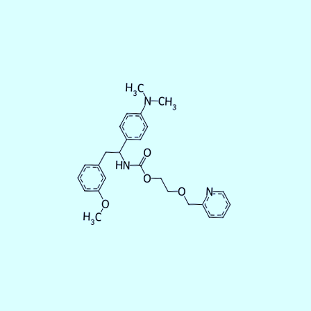 COc1cccc(CC(NC(=O)OCCOCc2ccccn2)c2ccc(N(C)C)cc2)c1